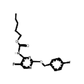 CCCCCOC(=O)Nc1nc(OCc2ccc(F)cc2)ncc1F